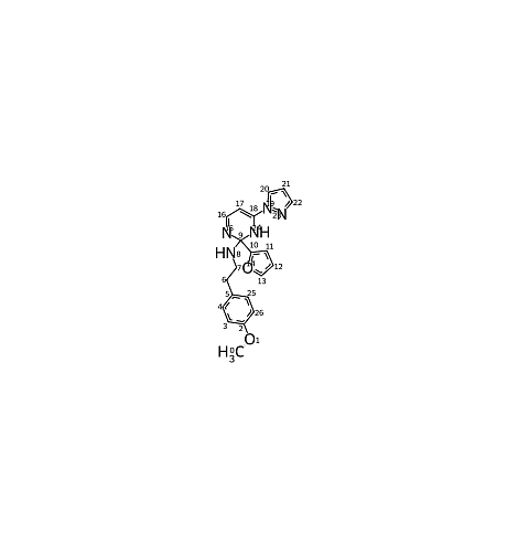 COc1ccc(CCNC2(c3ccco3)N=CC=C(n3cccn3)N2)cc1